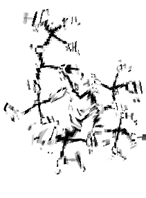 CC(C)(C)OC(OC(C)(C)C)[SiH2]CC[Si](OC(C)(C)C)(OC(C)(C)C)OC(C)(C)C